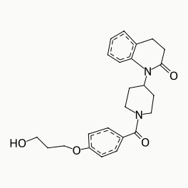 O=C(c1ccc(OCCCO)cc1)N1CCC(N2C(=O)CCc3ccccc32)CC1